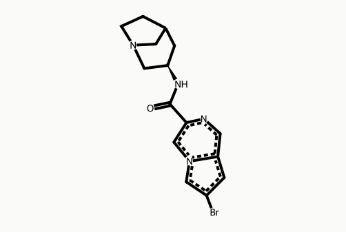 O=C(N[C@@H]1CC2CCN(C2)C1)c1cn2cc(Br)cc2cn1